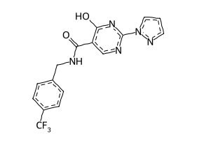 O=C(NCc1ccc(C(F)(F)F)cc1)c1cnc(-n2cccn2)nc1O